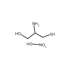 NC(CO)CS.O=[N+]([O-])O